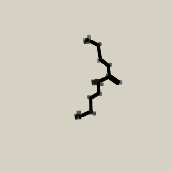 C=C(CCCC(C)C)NCCSC(C)C